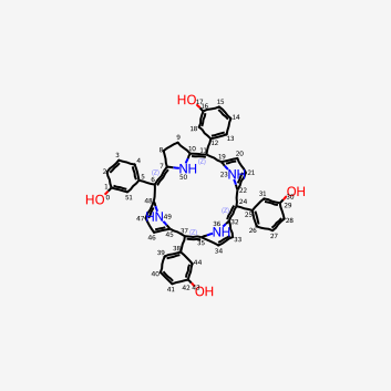 Oc1cccc(/C2=C3\CC/C(=C(\c4cccc(O)c4)c4ccc([nH]4)/C(c4cccc(O)c4)=c4/cc/c([nH]4)=C(\c4cccc(O)c4)c4ccc2[nH]4)N3)c1